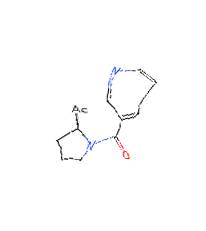 [CH2]C(=O)C1CCCN1C(=O)c1cccnc1